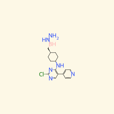 NNBC[C@H]1CC[C@@H](Nc2nc(Cl)ncc2-c2ccncc2)CC1